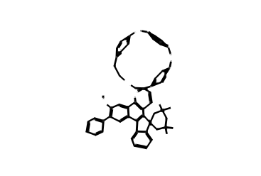 COc1cc2c3c(c4c(c2cc1-c1ccccc1)-c1ccccc1C41CC(C)(C)CC(C)(C)C1)C=CC1(CCCCc2ccc(cc2)Oc2ccc(cc2)Oc2ccc1cc2)O3